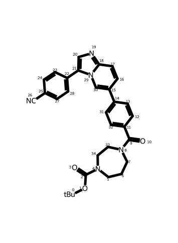 CC(C)(C)OC(=O)N1CCCN(C(=O)c2ccc(-c3ccc4ncc(-c5ccc(C#N)cc5)n4c3)cc2)CC1